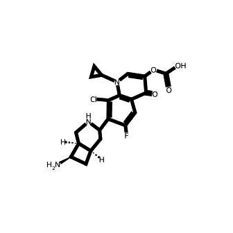 N[C@@H]1C[C@@H]2CC(c3c(F)cc4c(=O)c(OC(=O)O)cn(C5CC5)c4c3Cl)NC[C@@H]21